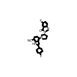 N#Cc1ccc(N2CCC[C@@H](n3cnc4ccc(F)cc4c3=O)C2)c2cc(-c3ccc(F)cc3)[nH]c12